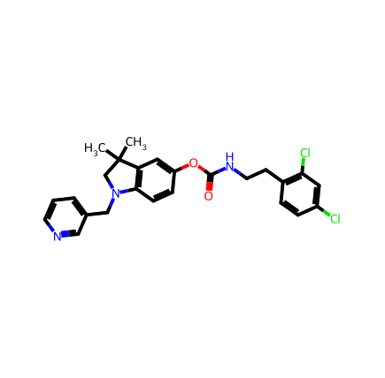 CC1(C)CN(Cc2cccnc2)c2ccc(OC(=O)NCCc3ccc(Cl)cc3Cl)cc21